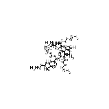 C[C@H](N)C(=O)N[C@@H](CCCCN)C(=O)N[C@H](C(=O)N[C@@H](CCCCN)C(=O)N[C@@H](CCCCN)C(=O)N[C@@H](CCCCN)C(=O)O)[C@@H](C)O